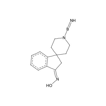 N=BN1CCC2(CC1)C/C(=N/O)c1ccccc12